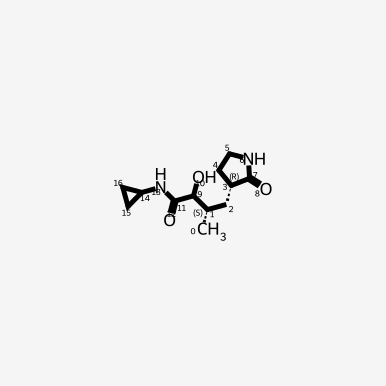 C[C@@H](C[C@@H]1CCNC1=O)C(O)C(=O)NC1CC1